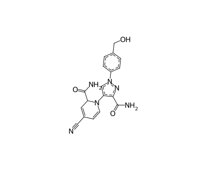 N#CC1=CC(C(N)=O)N(c2cn(-c3ccc(CO)cc3)nc2C(N)=O)C=C1